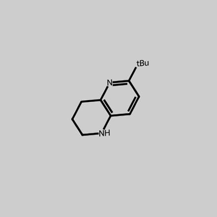 CC(C)(C)c1ccc2c(n1)CCCN2